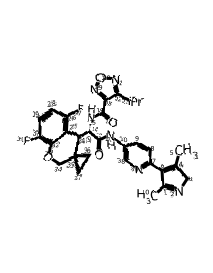 CC1=NCC(C)=C1c1ccc(NC(=O)[C@@H](NC(=O)c2nonc2C(C)C)C2c3c(F)ccc(F)c3OCC23CC3)cn1